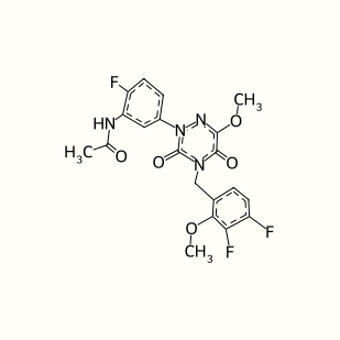 COc1c(Cn2c(=O)c(OC)nn(-c3ccc(F)c(NC(C)=O)c3)c2=O)ccc(F)c1F